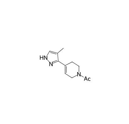 CC(=O)N1CC=C(c2n[nH]cc2C)CC1